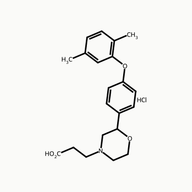 Cc1ccc(C)c(Oc2ccc(C3CN(CCC(=O)O)CCO3)cc2)c1.Cl